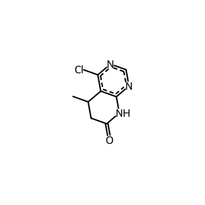 CC1CC(=O)Nc2ncnc(Cl)c21